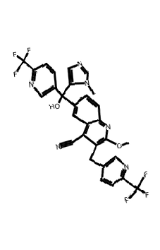 COc1nc2ccc(C(O)(c3ccc(C(F)(F)F)nc3)c3cncn3C)cc2c(C#N)c1Cc1ccc(C(F)(F)F)nc1